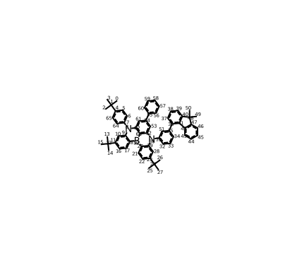 CC(C)(C)c1ccc(N2c3cc(C(C)(C)C)ccc3B3c4ccc(C(C)(C)C)cc4N(c4cccc(-c5cccc6c5-c5ccccc5C6(C)C)c4)c4cc(-c5ccccc5)cc2c43)cc1